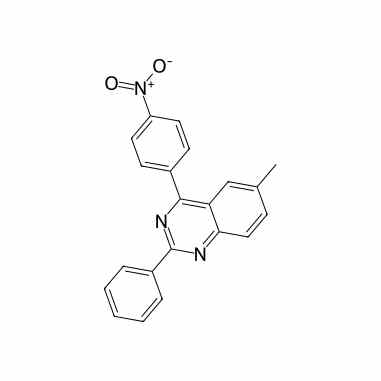 Cc1ccc2nc(-c3ccccc3)nc(-c3ccc([N+](=O)[O-])cc3)c2c1